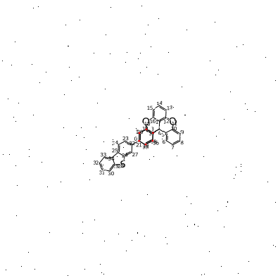 c1ccc(C23c4ccccc4Oc4cccc(c42)Oc2cc(-c4ccc5c(c4)sc4ccccc45)ccc23)cc1